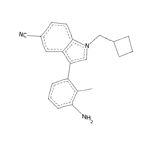 Cc1c(N)cccc1-c1cn(CC2CCC2)c2ccc(C#N)cc12